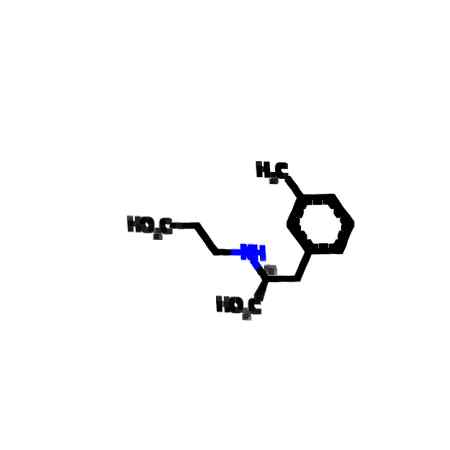 Cc1cccc(C[C@H](NCCC(=O)O)C(=O)O)c1